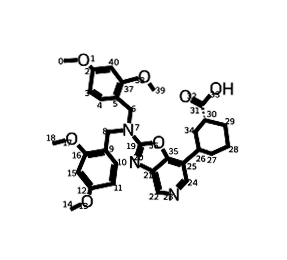 COc1ccc(CN(Cc2ccc(OC)cc2OC)c2nc3cncc(C4CCC[C@@H](C(=O)O)C4)c3o2)c(OC)c1